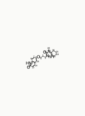 CCCN(CCCOc1ccc2[nH]c(=O)ccc2c1)C(=O)N(C)C1CCCCC1